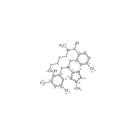 CCOC(=O)CCCCN(C)C(CC)c1ccc(C(F)(F)F)cc1CN(Cc1cc(C(F)(F)F)cc(C(F)(F)F)c1)c1nnn(C)n1